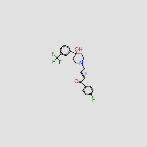 O=C(/C=C/CN1CCC(O)(c2cccc(C(F)(F)F)c2)CC1)c1ccc(F)cc1